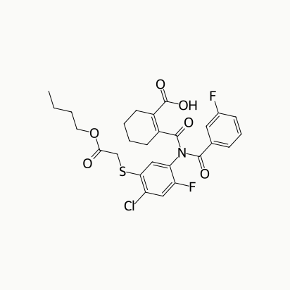 CCCCOC(=O)CSc1cc(N(C(=O)C2=C(C(=O)O)CCCC2)C(=O)c2cccc(F)c2)c(F)cc1Cl